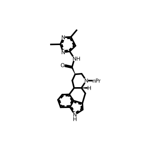 CCCN1C[C@H](C(=O)Nc2cc(C)nc(C)n2)CC2c3cccc4[nH]cc(c34)C[C@H]21